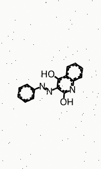 Oc1nc2ccccc2c(O)c1N=Nc1ccccc1